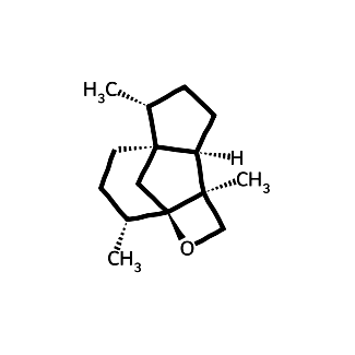 C[C@@H]1CC[C@@H]2[C@]13CC[C@@H](C)[C@@]1(C3)OC[C@]21C